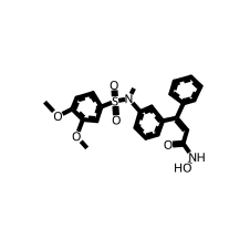 COc1ccc(S(=O)(=O)N(C)c2cccc(/C(=C\C(=O)NO)c3ccccc3)c2)cc1OC